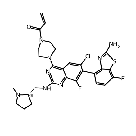 C=CC(=O)N1CCN(c2nc(NC[C@@H]3CCCN3C)nc3c(F)c(-c4ccc(F)c5sc(N)nc45)c(Cl)cc23)CC1